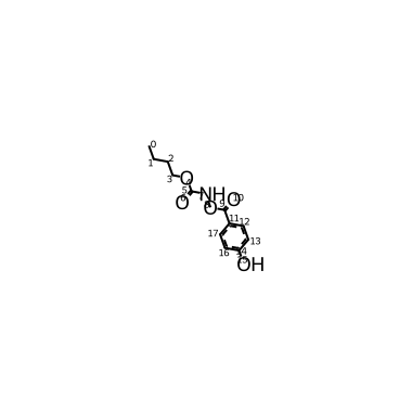 CCCCOC(=O)NOC(=O)c1ccc(O)cc1